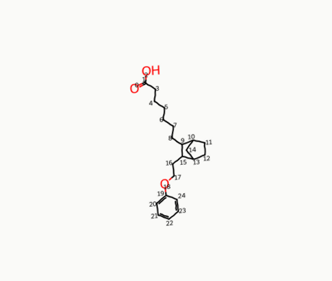 O=C(O)CCCCCCC1C2CCC(C2)C1CCOc1ccccc1